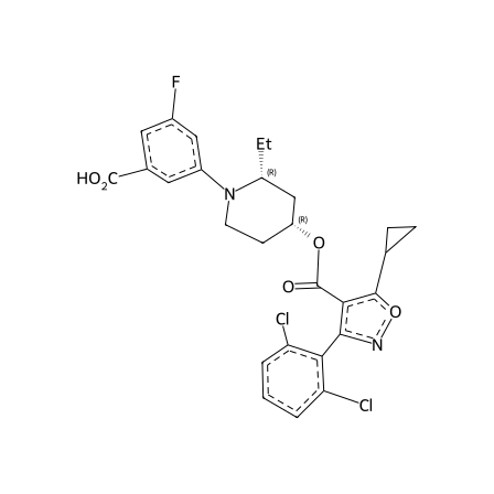 CC[C@@H]1C[C@H](OC(=O)c2c(-c3c(Cl)cccc3Cl)noc2C2CC2)CCN1c1cc(F)cc(C(=O)O)c1